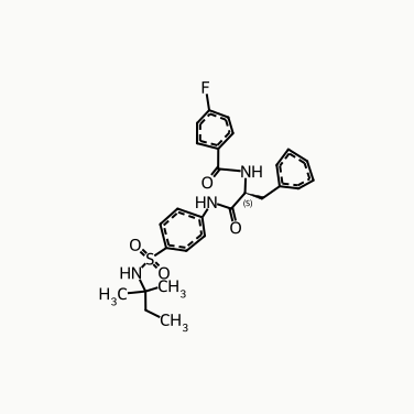 CCC(C)(C)NS(=O)(=O)c1ccc(NC(=O)[C@H](Cc2ccccc2)NC(=O)c2ccc(F)cc2)cc1